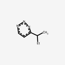 CCC(C)c1ccnnn1